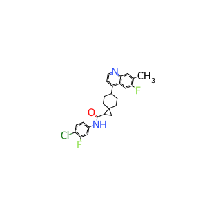 Cc1cc2nccc(C3CCC4(CC3)CC4C(=O)Nc3ccc(Cl)c(F)c3)c2cc1F